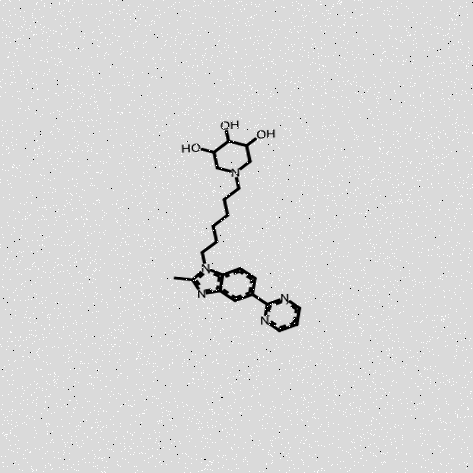 Cc1nc2cc(-c3ncccn3)ccc2n1CCCCCCN1CC(O)C(O)C(O)C1